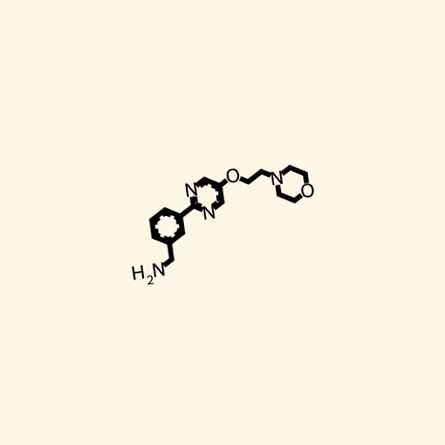 NCc1cccc(-c2ncc(OCCN3CCOCC3)cn2)c1